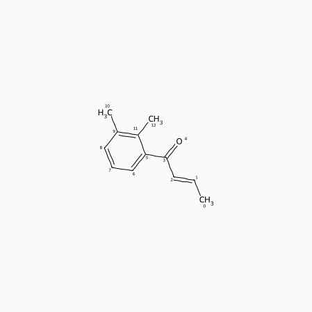 C/C=C/C(=O)c1cccc(C)c1C